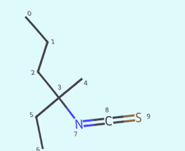 CCCC(C)(CC)N=C=S